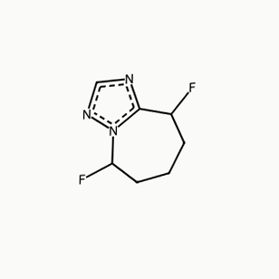 FC1CCCC(F)n2ncnc21